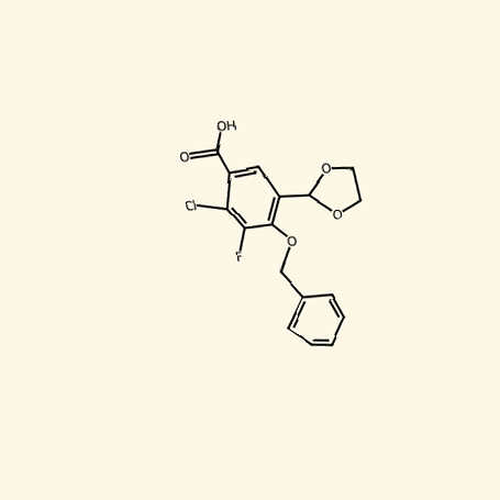 O=C(O)c1cc(C2OCCO2)c(OCc2ccccc2)c(F)c1Cl